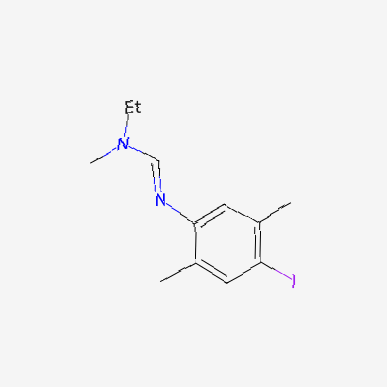 CCN(C)C=Nc1cc(C)c(I)cc1C